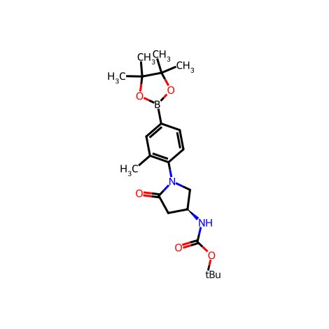 Cc1cc(B2OC(C)(C)C(C)(C)O2)ccc1N1C[C@@H](NC(=O)OC(C)(C)C)CC1=O